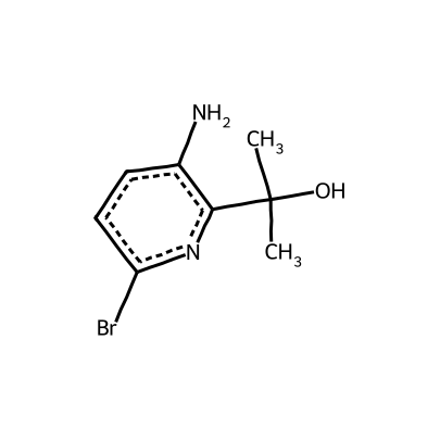 CC(C)(O)c1nc(Br)ccc1N